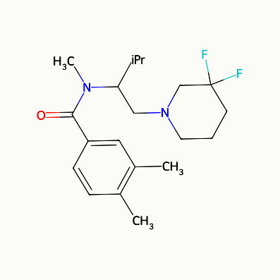 Cc1ccc(C(=O)N(C)C(CN2CCCC(F)(F)C2)C(C)C)cc1C